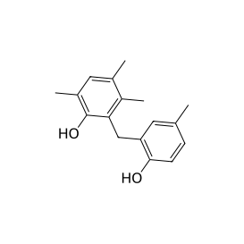 Cc1ccc(O)c(Cc2c(C)c(C)cc(C)c2O)c1